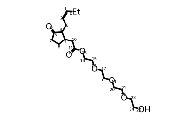 CC/C=C\CC1C(=O)CCC1CC(=O)OCCOCCOCCOCCO